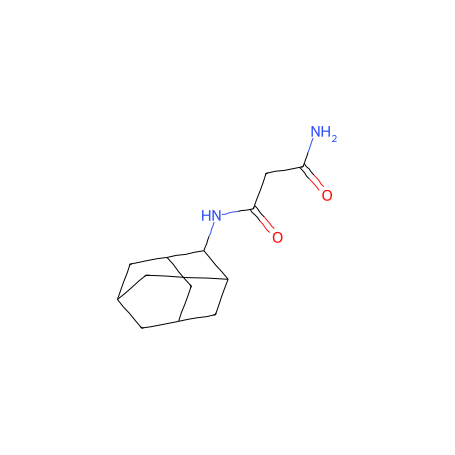 NC(=O)CC(=O)NC1C2CC3CC(C2)CC1C3